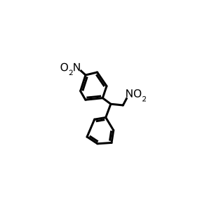 O=[N+]([O-])CC(c1ccccc1)c1ccc([N+](=O)[O-])cc1